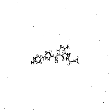 CC(C1CC1)n1cc(NC(=O)c2csc(-c3cn[nH]c3)n2)c(C(F)F)n1